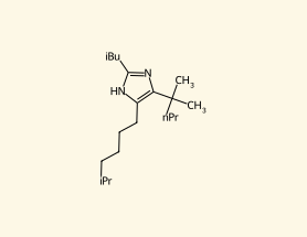 CCCC(C)(C)c1nc(C(C)CC)[nH]c1CCCCC(C)C